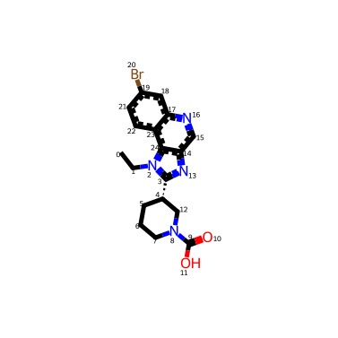 CCn1c([C@H]2CCCN(C(=O)O)C2)nc2cnc3cc(Br)ccc3c21